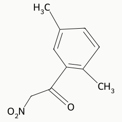 Cc1ccc(C)c(C(=O)C[N+](=O)[O-])c1